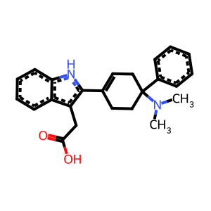 CN(C)C1(c2ccccc2)CC=C(c2[nH]c3ccccc3c2CC(=O)O)CC1